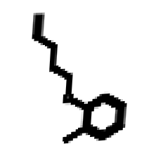 C=CCCCOc1ccccc1C